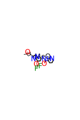 COc1ncccc1C(=O)Nc1cc(OC(F)F)c2nc(C34COC(C)(C3)C4)cn2c1